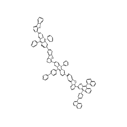 c1ccc(-c2ccc(-c3c4ccc(-c5ccc6oc7c(-c8ccc9c(-c%10cccc%11ccccc%10%11)c%10ccccc%10c(-c%10ccc(-c%11cccc%12ccccc%11%12)cc%10)c9c8)cccc7c6c5)cc4c(-c4ccccc4)c4ccc(-c5cccc6c5oc5ccc(-c7ccc8c(-c9ccccc9)c9cc(-c%10cccc%11c%10oc%10ccccc%10%11)ccc9c(-c9ccccc9)c8c7)cc56)cc34)cc2)cc1